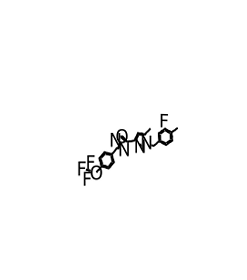 Cc1ccc(Cn2nc(-c3nc(-c4ccc(OC(F)(F)F)cc4)no3)cc2C)cc1F